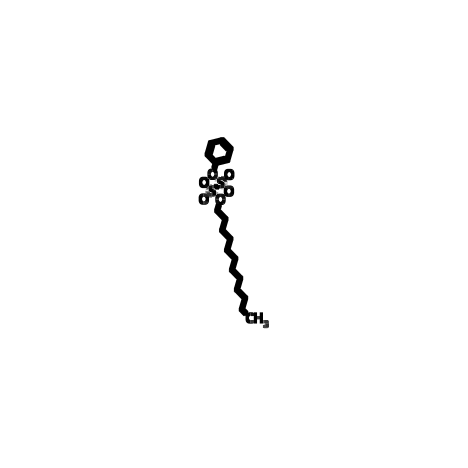 CCCCCCCCCCCCOS(=O)(=O)S(=O)(=O)Oc1ccccc1